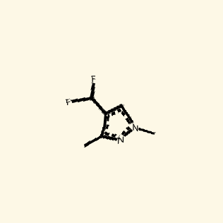 Cc1nn(C)[c]c1C(F)F